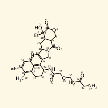 CC[C@@]1(O)C(=O)OCC2C(=O)N3Cc4c(nc5cc(F)c(C)c6c5c4[C@@H](NC(=O)COCNC(=O)CN)CC6)C3CC21